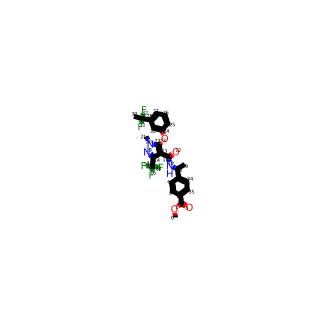 COC(=O)c1ccc(C(C)NC(=O)c2c(C(F)(F)F)nn(C)c2Oc2cccc(C(C)(F)F)c2)cc1